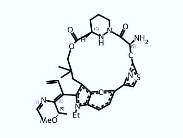 C=C/C(=C(\N=C/C)[C@H](C)OC)c1c2c3cc(ccc3n1CC)-c1csc(n1)C[C@H](N)C(=O)N1CCC[C@H](N1)C(=O)OCC(C)(C)C2